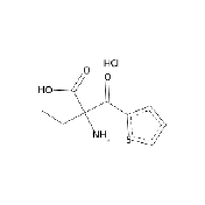 CCC(N)(C(=O)O)C(=O)c1cccs1.Cl